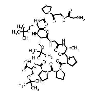 C[C@H](NC(=O)CNC(=O)[C@H](COC(C)(C)C)NC(=O)[C@H](COC(C)(C)C)NC(=O)[C@@H]1CCCN1C(=O)CNC(=O)CN)C(=O)N1CCC[C@H]1C(=O)N1CCC[C@H]1C(=O)N1CCC[C@H]1C(=O)N[C@@H](COC(C)(C)C)C(=O)O